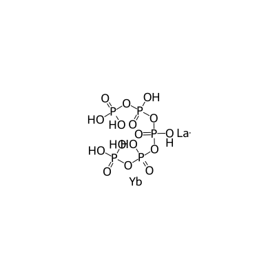 O=P(O)(O)OP(=O)(O)OP(=O)(O)OP(=O)(O)OP(=O)(O)O.[La].[Yb]